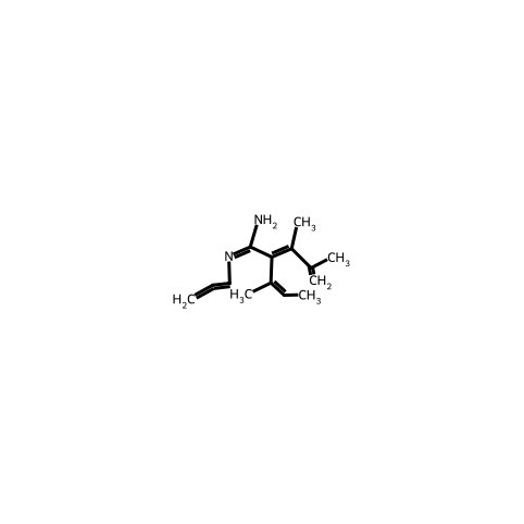 C=C=C\N=C(N)/C(C(/C)=C\C)=C(\C)C(=C)C